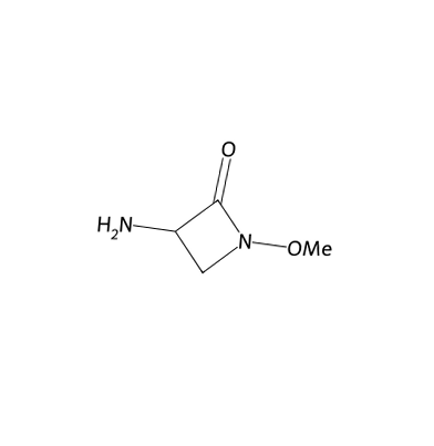 CON1CC(N)C1=O